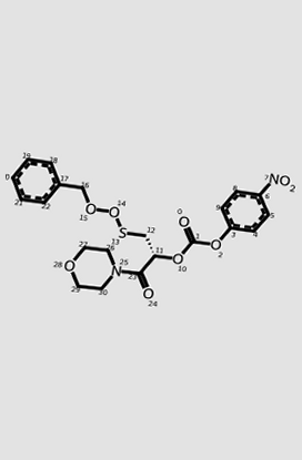 O=C(Oc1ccc([N+](=O)[O-])cc1)O[C@@H](CSOOCc1ccccc1)C(=O)N1CCOCC1